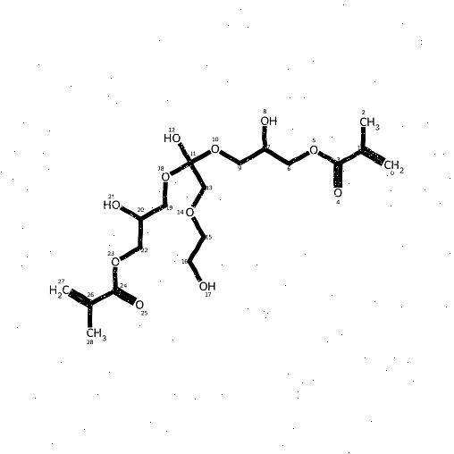 C=C(C)C(=O)OCC(O)COC(O)(COCCO)OCC(O)COC(=O)C(=C)C